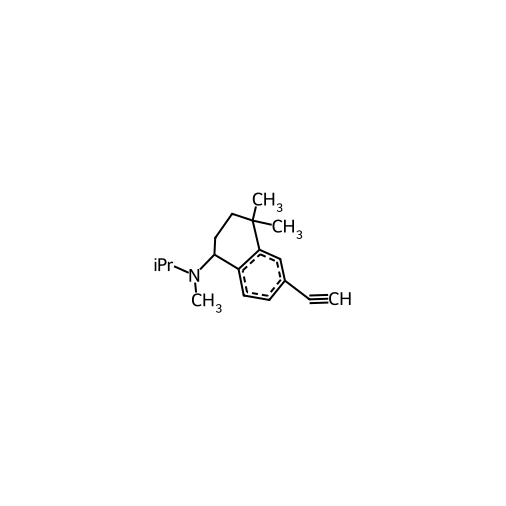 C#Cc1ccc2c(c1)C(C)(C)CCC2N(C)C(C)C